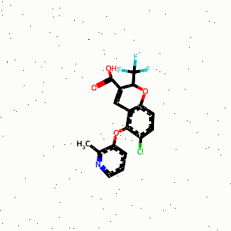 Cc1ncccc1Oc1c(Cl)ccc2c1C=C(C(=O)O)C(C(F)(F)F)O2